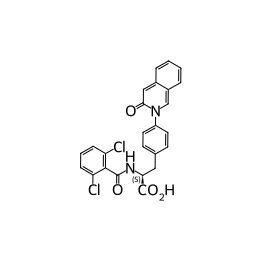 O=C(N[C@@H](Cc1ccc(-n2cc3ccccc3cc2=O)cc1)C(=O)O)c1c(Cl)cccc1Cl